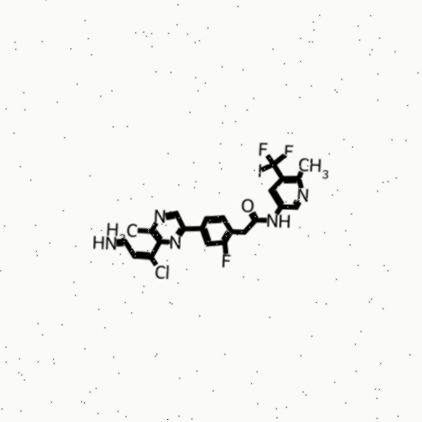 Cc1ncc(NC(=O)Cc2ccc(-c3cnc(C)c(/C(Cl)=C\C=N)n3)cc2F)cc1C(F)(F)I